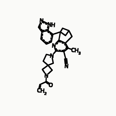 C=CC(=O)N1CC2(CCN(c3nc4c(c(C)c3C#N)CC3CC4(c4cccc5cn[nH]c45)C3)C2)C1